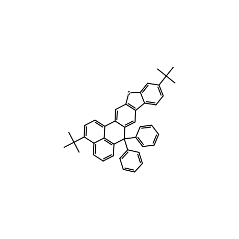 CC(C)(C)c1ccc2c(c1)sc1cc3c(cc12)C(c1ccccc1)(c1ccccc1)c1cccc2c(C(C)(C)C)ccc-3c12